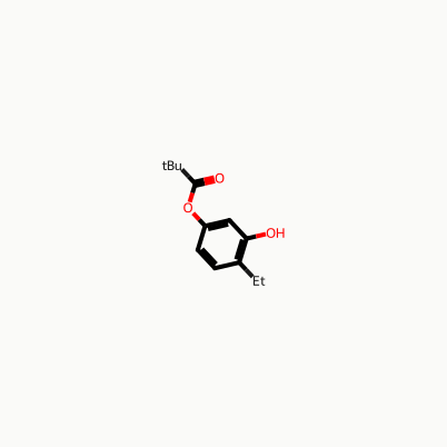 CCc1ccc(OC(=O)C(C)(C)C)cc1O